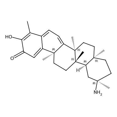 CC1=C(O)C(=O)C=C2C1=CC=C1[C@@]2(C)CC[C@@]2(C)[C@@H]3C[C@](C)(N)CC[C@]3(C)CC[C@]12C